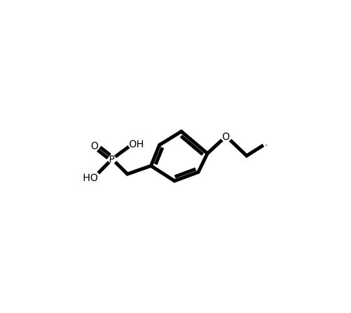 [CH2]COc1ccc(CP(=O)(O)O)cc1